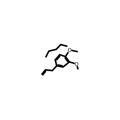 C=CCc1ccc(OC)c(OC)c1.CCCCC